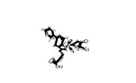 O=C(O)CCc1cn(S(=O)(=O)c2cc(Cl)c(Cl)s2)c2ccc(-c3cccnc3)cc12